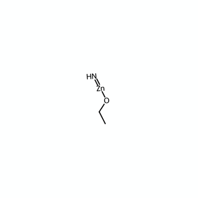 CC[O][Zn]=[NH]